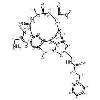 COC(=O)[C@@H]1Cc2cc(OCCNC(=O)OCc3ccccc3)c(OC)c(c2)-c2cc(ccc2OC)[C@H](N(C)C(=O)CN)C(=O)N[C@@H](C)C(=O)N1